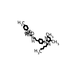 C=CCCCc1nc2c(C)cc(C)nc2n1-c1ccc(CCNC(=O)NS(=O)(=O)c2ccc(C)cc2)cc1